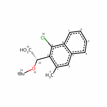 Cc1cc2ccccc2c(Cl)c1[C@H](OC(C)(C)C)C(=O)O